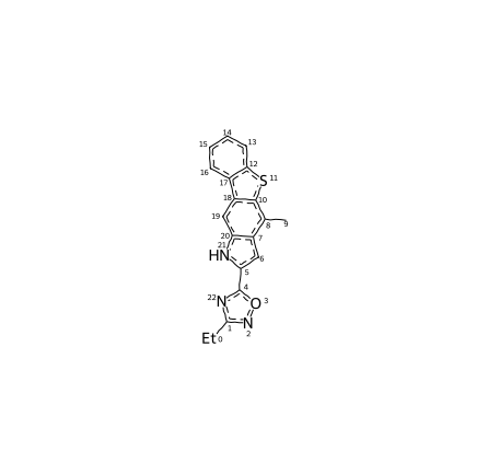 CCc1noc(-c2cc3c(C)c4sc5ccccc5c4cc3[nH]2)n1